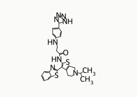 CC(C)N1CCc2c(sc(NC(=O)CCNc3ccc(-c4nnn[nH]4)cc3)c2-c2nc3ccccc3s2)C1